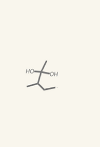 [CH2]CC(C)C(C)(O)O